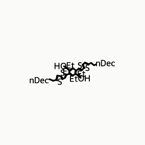 CCCCCCCCCCCCc1cc2sc(-c3cc(C(O)(CC)CC)c(-c4cc5sc(CCCCCCCCCCCC)cc5s4)cc3C(O)(CC)CC)cc2s1